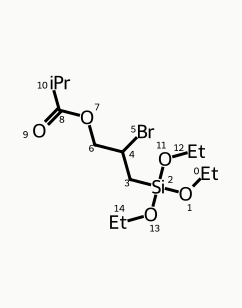 CCO[Si](CC(Br)COC(=O)C(C)C)(OCC)OCC